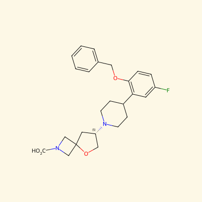 O=C(O)N1CC2(C[C@H](N3CCC(c4cc(F)ccc4OCc4ccccc4)CC3)CO2)C1